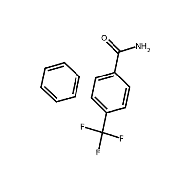 NC(=O)c1ccc(C(F)(F)F)cc1.c1ccccc1